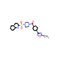 Cc1nc(-c2ccc(C(=O)N3CCN(S(=O)(=O)c4ccc5ccccc5n4)CC3)cc2)no1